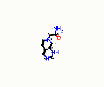 NC(=O)CN1C=CC2=CN=CNC2=C1